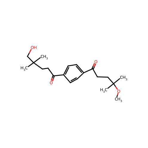 COC(C)(C)CCC(=O)c1ccc(C(=O)CCC(C)(C)CO)cc1